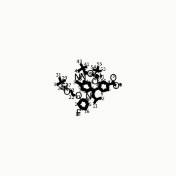 COC(=O)c1ccc(-c2c(C(C)C)n(-c3ccc(F)cc3OCCO[Si](C)(C)C(C)(C)C)c3cc4cnn(C(=O)C(C)(C)C)c4cc23)c(O[Si](C)(C)C(C)(C)C)c1